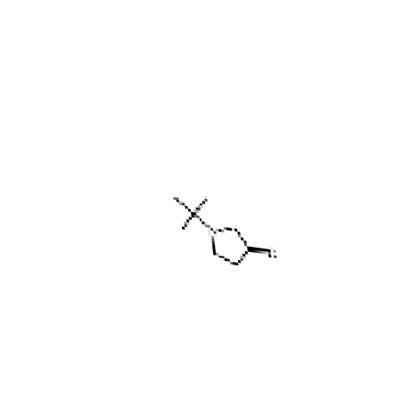 CC(C)(C)N1CCC(=O)C1